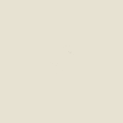 C=C(C)OC(=O)CC[C@@H](N)C(=O)O